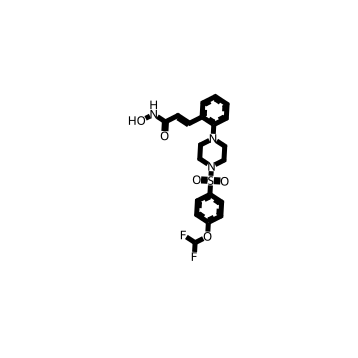 O=C(C=Cc1ccccc1N1CCN(S(=O)(=O)c2ccc(OC(F)F)cc2)CC1)NO